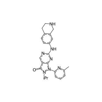 Cc1cccc(-n2c3nc(Nc4ccc5c(c4)CNCC5)ncc3c(=O)n2C(C)C)n1